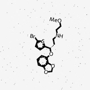 COCCNCC[C@H](Oc1cccc2c1OCO2)c1ccc(Br)s1